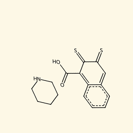 C1CCNCC1.O=C(O)C1=c2ccccc2=CC(=S)C1=S